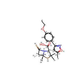 CCOc1ccc(-c2noc(C)c2[C@@]2(C(=O)O)N3C(=S)[C@@H](C)[C@H]3SC2(C)C)cc1